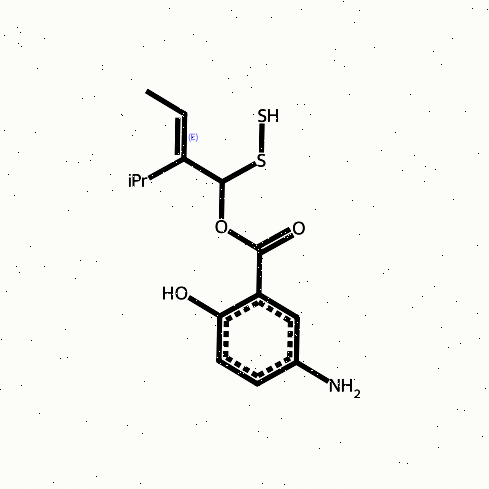 C/C=C(\C(C)C)C(OC(=O)c1cc(N)ccc1O)SS